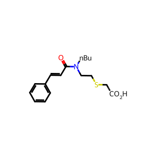 CCCCN(CCSCC(=O)O)C(=O)C=Cc1ccccc1